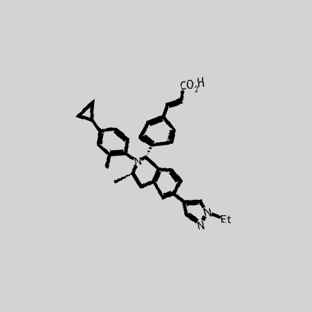 CCn1cc(-c2ccc3c(c2)C[C@@H](C)N(c2ccc(C4CC4)cc2C)[C@@H]3c2ccc(/C=C/C(=O)O)cc2)cn1